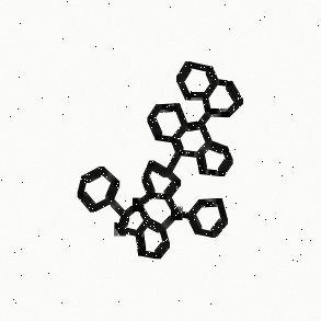 c1ccc(-c2nc3cccc4c3n2-c2ccc(-c3c5ccccc5c(-c5cccc6ccccc56)c5ccccc35)cc2N4c2ccccc2)cc1